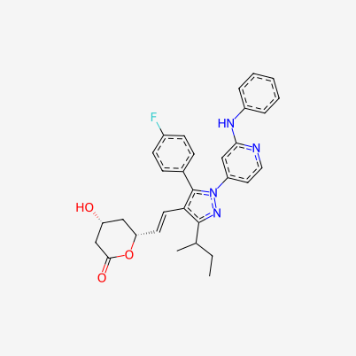 CCC(C)c1nn(-c2ccnc(Nc3ccccc3)c2)c(-c2ccc(F)cc2)c1C=C[C@H]1C[C@@H](O)CC(=O)O1